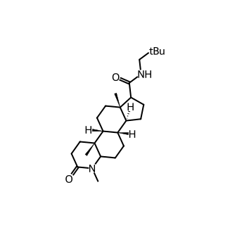 CN1C(=O)CC[C@@]2(C)C1CC[C@@H]1[C@H]2CC[C@]2(C)C(C(=O)NCC(C)(C)C)CC[C@@H]12